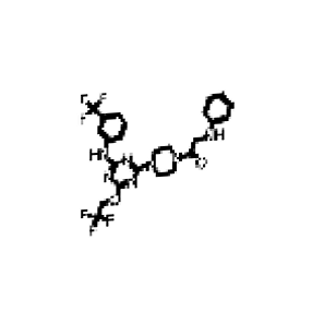 O=C(CNc1ccccc1)N1CCN(c2nc(Nc3cccc(C(F)(F)F)c3)nc(OCC(F)(F)F)n2)CC1